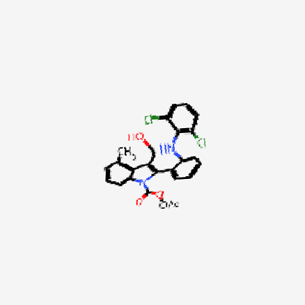 CC(=O)OOC(=O)n1c(-c2ccccc2Nc2c(Cl)cccc2Cl)c(CO)c2c(C)cccc21